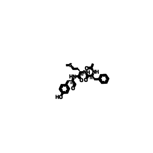 CSCC[C@H](NC(=O)[C@H](Cc1ccccc1)NC(C)=O)C(=O)N[C@H](C=O)Cc1ccc(O)cc1